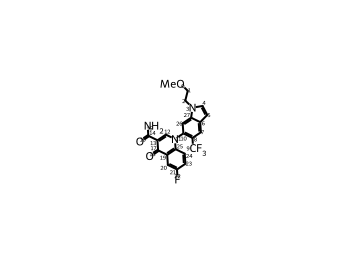 COCCn1ccc2cc(C(F)(F)F)c(-n3cc(C(N)=O)c(=O)c4cc(F)ccc43)cc21